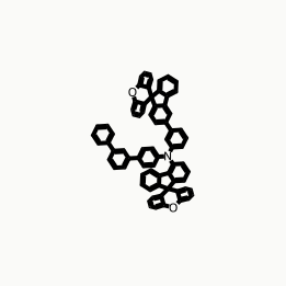 c1ccc(-c2cccc(-c3ccc(N(c4cccc(-c5ccc6c(c5)-c5ccccc5C65c6ccccc6Oc6ccccc65)c4)c4cccc5c4-c4ccccc4C54c5ccccc5Oc5ccccc54)cc3)c2)cc1